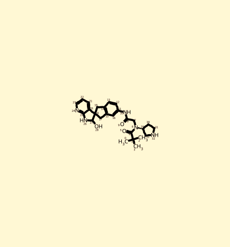 CC(C)(C)C(=O)N(CC(=O)Nc1ccc2c(c1)CC1(C2)c2cccnc2NC1O)[C@H]1CCNC1